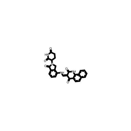 O=C1CCC(N2Cc3c(N/C=C4\C(=O)Nc5c(ccc6ccccc56)C4=O)cccc3C2=O)C(=O)N1